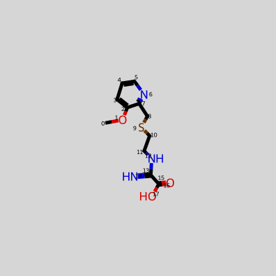 COc1cccnc1CSCCNC(=N)C(=O)O